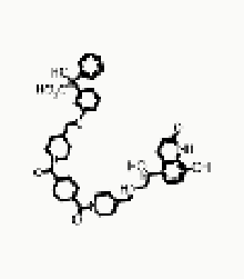 O=C(C1CCC(C(=O)N2CCC(COc3cccc([C@](O)(C(=O)O)c4ccccc4)c3)CC2)CC1)N1CCC(CNC[C@H](O)c2ccc(O)c3[nH]c(=O)ccc23)CC1